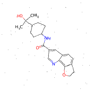 CC(C)(O)C1CCC(NC(=O)c2cnc3c4c(ccc3c2)CCO4)CC1